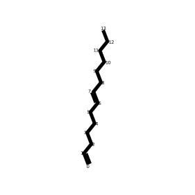 C=CCCCCC=CCCCCCC